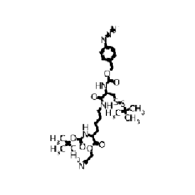 CC(C)(C)OC(=O)NC(CCCCNC(=O)C(CSSC(C)(C)C)NC(=O)OCc1ccc(N=[N+]=[N-])cc1)C(=O)OCC#N